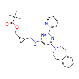 CC(C)(C)C(=O)OCC1CC1CNc1cc(N2CCc3ccccc3CC2)nc(-c2ccccn2)n1